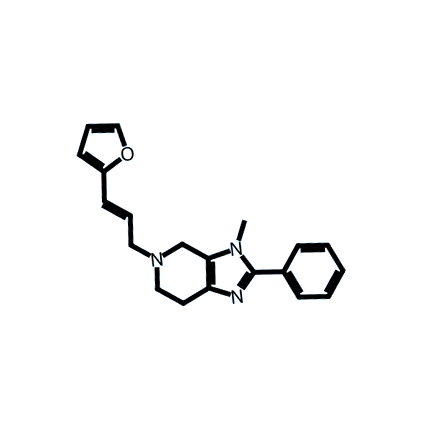 Cn1c(-c2ccccc2)nc2c1CN(C/C=C/c1ccco1)CC2